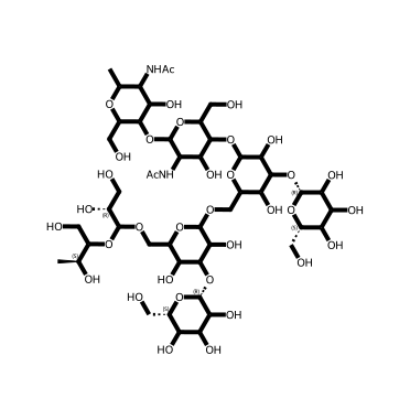 CC(=O)NC1C(C)OC(CO)C(OC2OC(CO)C(OC3OC(COC4OC(COC(OC(CO)[C@H](C)O)[C@H](O)CO)C(O)C(O[C@H]5O[C@@H](CO)C(O)C(O)C5O)C4O)C(O)C(O[C@H]4O[C@@H](CO)C(O)C(O)C4O)C3O)C(O)C2NC(C)=O)C1O